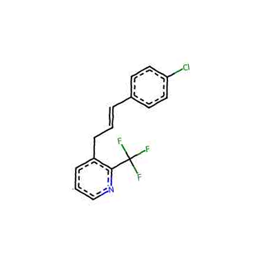 FC(F)(F)c1nc[c]cc1CC=Cc1ccc(Cl)cc1